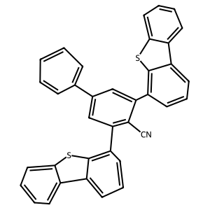 N#Cc1c(-c2cccc3c2sc2ccccc23)cc(-c2ccccc2)cc1-c1cccc2c1sc1ccccc12